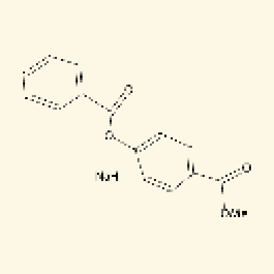 COC(=O)c1ccc(OC(=O)c2ccccc2)cc1.[NaH]